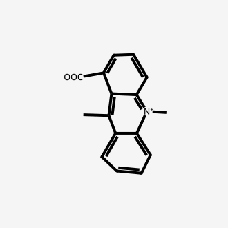 Cc1c2ccccc2[n+](C)c2cccc(C(=O)[O-])c12